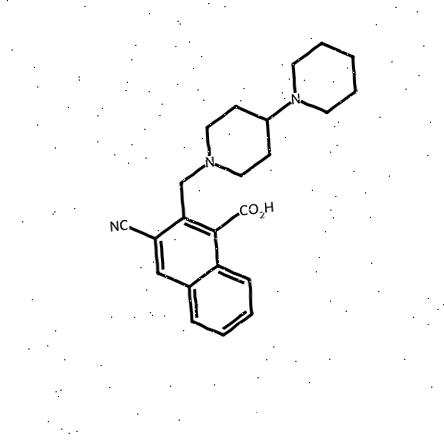 N#Cc1cc2ccccc2c(C(=O)O)c1CN1CCC(N2CCCCC2)CC1